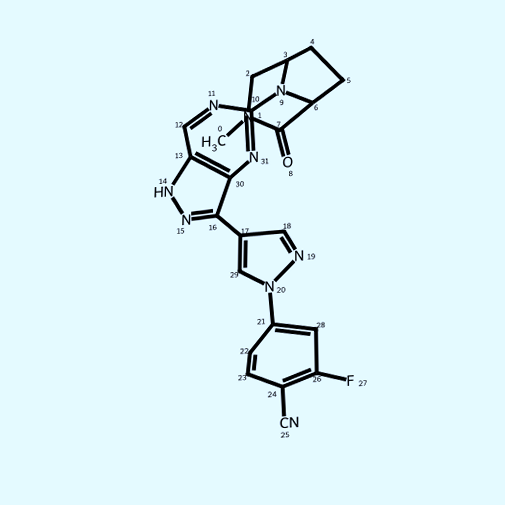 CN1CC2CCC(C1=O)N2c1ncc2[nH]nc(-c3cnn(-c4ccc(C#N)c(F)c4)c3)c2n1